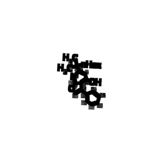 CCCCCCC(C)(C)c1cc(O)c2c(-c3ccccc3)coc2n1